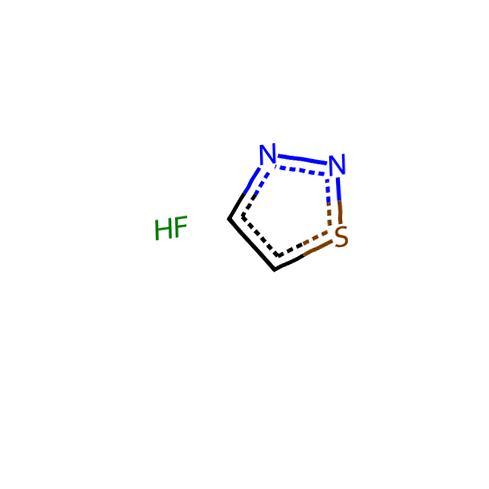 F.c1csnn1